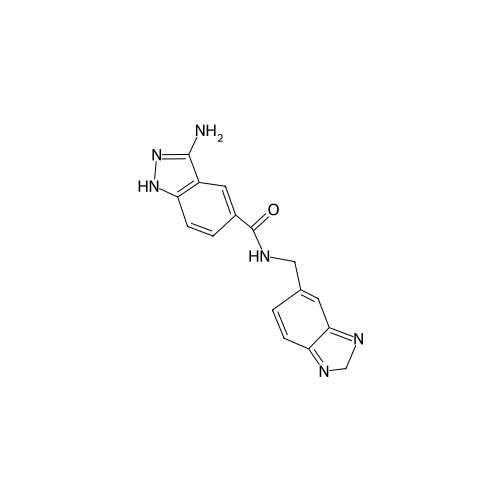 Nc1n[nH]c2ccc(C(=O)NCc3ccc4c(c3)=NCN=4)cc12